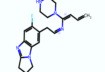 C=C/C=C(\N=C/Cc1cc2c(cc1F)nc1n2CCC1)N1CCNCC1